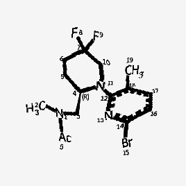 CC(=O)N(C)C[C@H]1CCC(F)(F)CN1c1nc(Br)ccc1C